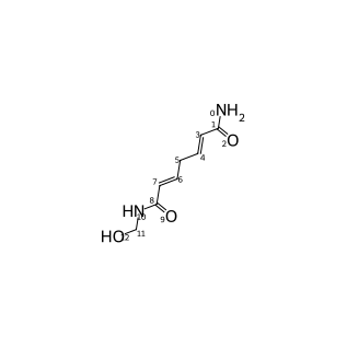 NC(=O)C=CCC=CC(=O)NCO